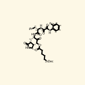 CCCCCCCCCCCCCCC(=O)OCC(=O)[C@H](C[C@@H]1CCNC1=O)NC(=O)[C@H](CC(C)C)NC(=O)C(=O)Nc1ccccc1F